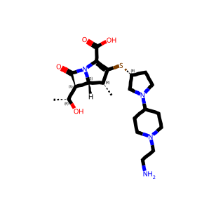 C[C@@H](O)[C@H]1C(=O)N2C(C(=O)O)=C(S[C@@H]3CCN(C4CCN(CCN)CC4)C3)[C@H](C)[C@H]12